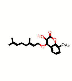 CC(=O)Oc1cccc2c(OC/C=C(\C)CCC=C(C)C)c(O)c(=O)oc12